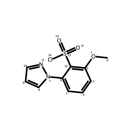 COc1cccc(-n2cccn2)c1S(=O)(=O)Cl